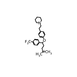 CN(C)CCC(Oc1ccc(CCN2CCCCC2)cc1)c1ccc(C(F)(F)F)cc1